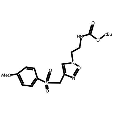 COc1ccc(S(=O)(=O)Cc2cn(CCNC(=O)OC(C)(C)C)nn2)cc1